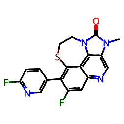 Cn1c(=O)n2c3c4c(c(-c5ccc(F)nc5)c(F)cc4ncc31)SCC2